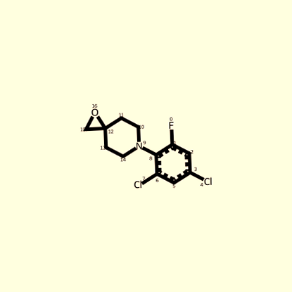 Fc1cc(Cl)cc(Cl)c1N1CCC2(CC1)CO2